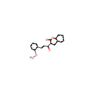 COc1ccccc1/C=C/C(=O)c1cc2ccccc2oc1=O